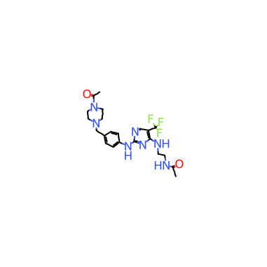 CC(=O)NCCNc1nc(Nc2ccc(CN3CCN(C(C)=O)CC3)cc2)ncc1C(F)(F)F